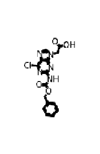 O=C(O)Cn1cnc2c(Cl)nc(NC(=O)OCc3ccccc3)nc21